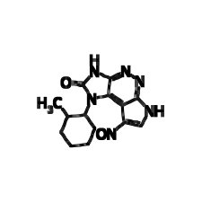 CC1CCCCC1n1c(=O)[nH]c2nnc3[nH]cc(N=O)c3c21